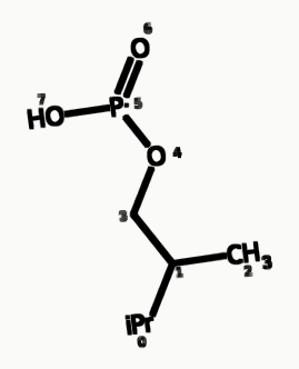 CC(C)C(C)CO[P](=O)O